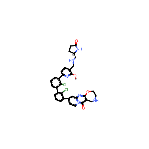 COc1nc(-c2cccc(-c3cccc(-c4ccn5c(=O)c6c(nc5c4)OCCNC6)c3Cl)c2Cl)ccc1CNC[C@H]1CCC(=O)N1